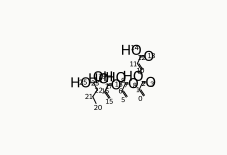 C=CC(=O)O.C=CC(=O)O.C=CC(=O)O.C=CC(=O)O.CCCC(O)O